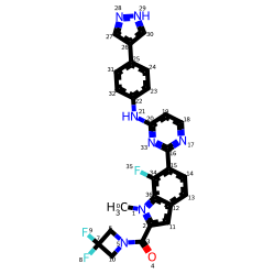 Cn1c(C(=O)N2CC(F)(F)C2)cc2ccc(-c3nccc(Nc4ccc(-c5cn[nH]c5)cc4)n3)c(F)c21